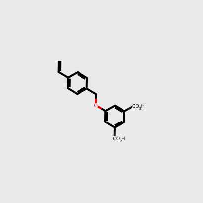 C=Cc1ccc(COc2cc(C(=O)O)cc(C(=O)O)c2)cc1